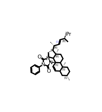 CC(C)[C@@H](C)/C=C/[C@@H](C)[C@H]1CCC2[C@@]3(n4c(=O)n(-c5ccccc5)c(=O)n4C)C=CC4C[C@@H](C)CC[C@]4(C)C3CC[C@@]21C